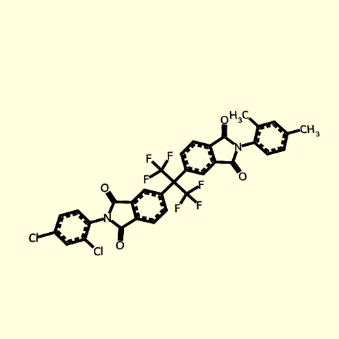 Cc1ccc(N2C(=O)c3ccc(C(c4ccc5c(c4)C(=O)N(c4ccc(Cl)cc4Cl)C5=O)(C(F)(F)F)C(F)(F)F)cc3C2=O)c(C)c1